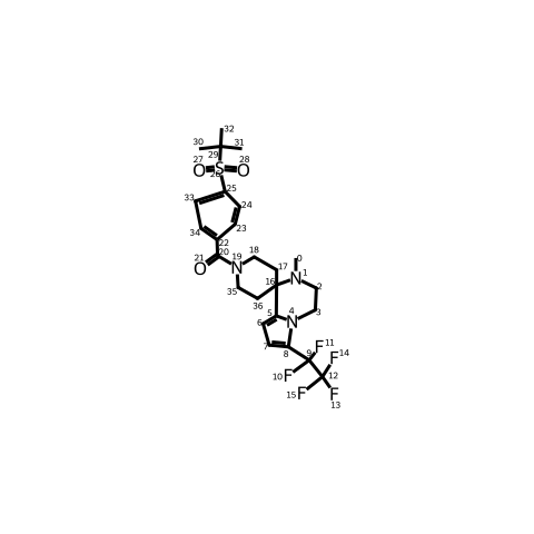 CN1CCn2c(ccc2C(F)(F)C(F)(F)F)C12CCN(C(=O)c1ccc(S(=O)(=O)C(C)(C)C)cc1)CC2